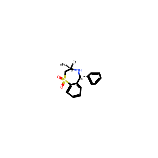 CCC[C@]1(CC)CS(=O)(=O)c2ccccc2[C@@H](c2ccccc2)N1